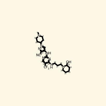 CN1CCC(n2cc(Nc3ncc(C(F)(F)F)c(NCCCN4CCCCC4O)n3)c(C#N)n2)CC1